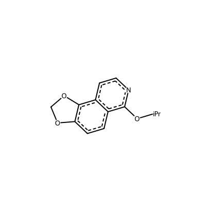 CC(C)Oc1nccc2c3c(ccc12)OCO3